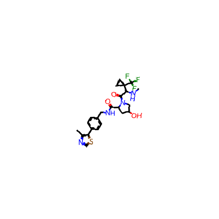 CNC(C(=O)N1CC(O)CC1C(=O)NCc1ccc(-c2scnc2C)cc1)C1(C(F)(F)F)CC1